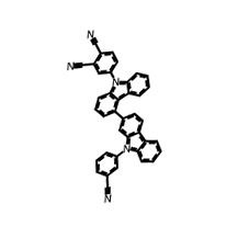 N#Cc1cccc(-n2c3ccccc3c3ccc(-c4cccc5c4c4ccccc4n5-c4ccc(C#N)c(C#N)c4)cc32)c1